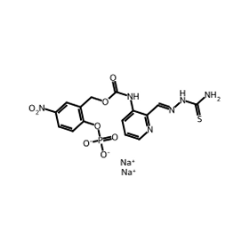 NC(=S)NN=Cc1ncccc1NC(=O)OCc1cc([N+](=O)[O-])ccc1OP(=O)([O-])[O-].[Na+].[Na+]